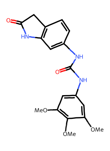 COc1cc(NC(=O)Nc2ccc3c(c2)NC(=O)C3)cc(OC)c1OC